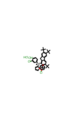 Cl.Cl.[CH2]=[Hf]([C]1=CC=CC1)([c]1cccc(Cl)c1)([c]1cccc(Cl)c1)[c]1c2c(cc(C(C)(C)C)c1C(C)(C)C)-c1cc(C(C)(C)C)c(C(C)(C)C)cc1C2